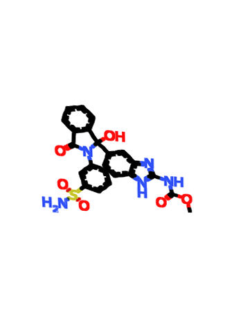 COC(=O)Nc1nc2cc(C3(O)c4ccccc4C(=O)N3c3cccc(S(N)(=O)=O)c3)ccc2[nH]1